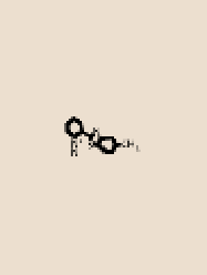 Cc1ccc2sc(-c3ccccc3[N+]#N)nc2c1